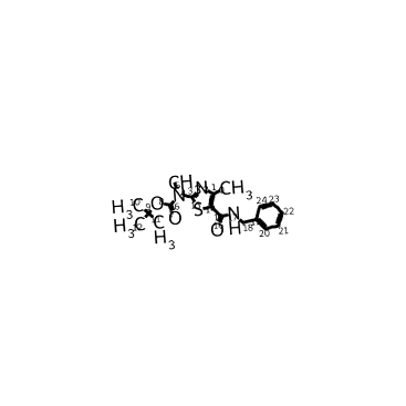 Cc1nc(N(C)C(=O)OC(C)(C)C)sc1C(=O)NCc1ccccc1